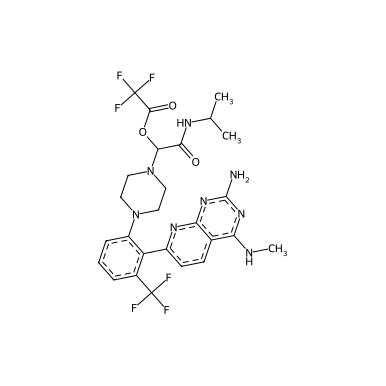 CNc1nc(N)nc2nc(-c3c(N4CCN(C(OC(=O)C(F)(F)F)C(=O)NC(C)C)CC4)cccc3C(F)(F)F)ccc12